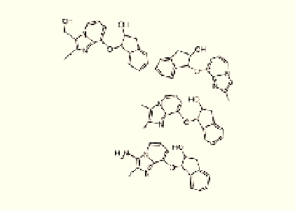 Cc1cn2cccc(OC3c4ccccc4CC3O)c2n1.Cc1nc2c(OC3c4ccccc4CC3O)cccn2c1C.Cc1nc2c(OC3c4ccccc4CC3O)cccn2c1CO.Cc1nc2c(OC3c4ccccc4CC3O)cccn2c1N